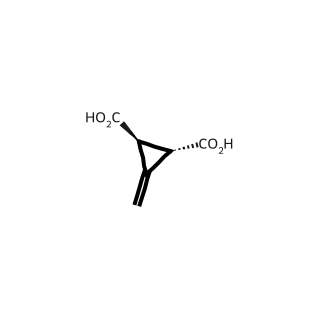 C=C1[C@@H](C(=O)O)[C@@H]1C(=O)O